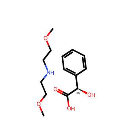 COCCNCCOC.O=C(O)[C@H](O)c1ccccc1